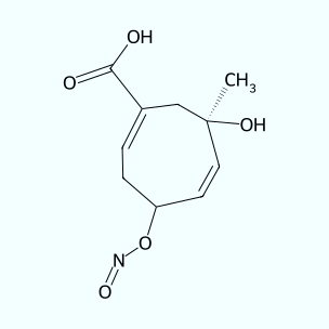 C[C@]1(O)C=CC(ON=O)CC=C(C(=O)O)C1